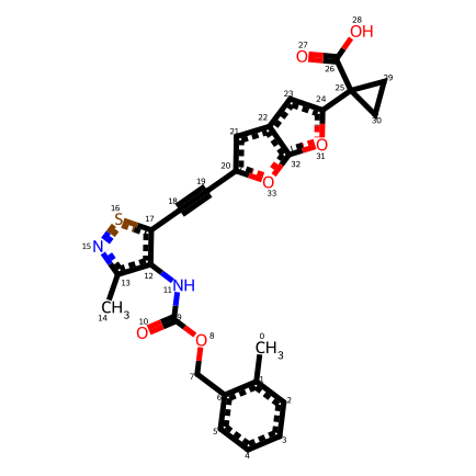 Cc1ccccc1COC(=O)Nc1c(C)nsc1C#Cc1cc2cc(C3(C(=O)O)CC3)oc2o1